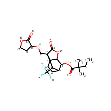 CCC(C)(C)C(=O)OC1C2CCC3C1OC(=O)C3(COC1CCOC1=O)C2C(F)(F)F